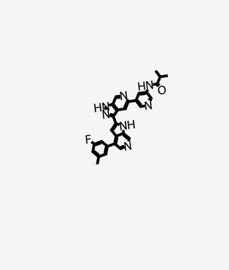 Cc1cc(F)cc(-c2cncc3[nH]c(-c4n[nH]c5cnc(-c6cncc(NC(=O)C(C)C)c6)cc45)cc23)c1